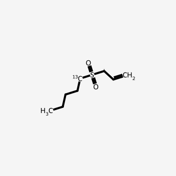 C=C[CH]S(=O)(=O)[13CH2]CCCC